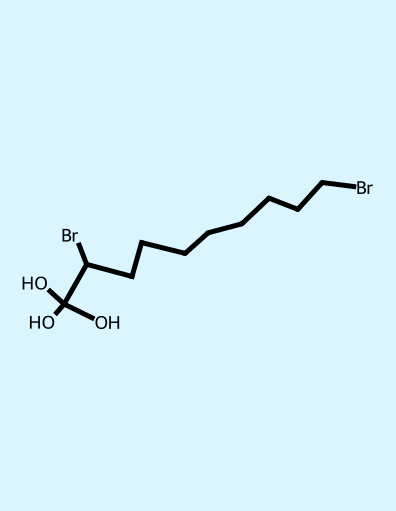 OC(O)(O)C(Br)CCCCCCCCBr